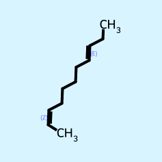 C/C=C\CCCC/C=C/CC